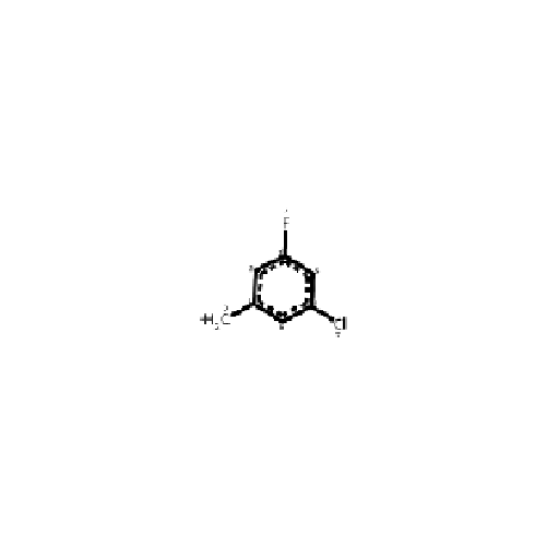 [CH2]c1cc(F)cc(Cl)c1